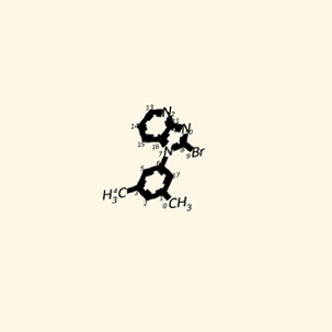 Cc1cc(C)cc(-n2c(Br)nc3ncccc32)c1